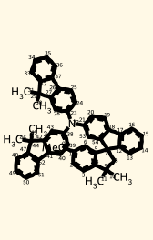 COc1ccc2c(c1)C1(CC2(C)C)c2ccccc2-c2ccc(N(c3ccc4c(c3)C(C)(C)c3ccccc3-4)c3ccc4c(c3)C(C)(C)c3ccccc3-4)cc21